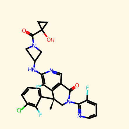 C[C@]1(c2cccc(Cl)c2F)CN(c2ncccc2F)C(=O)c2cnc(NC3CN(C(=O)C4(O)CC4)C3)c(F)c21